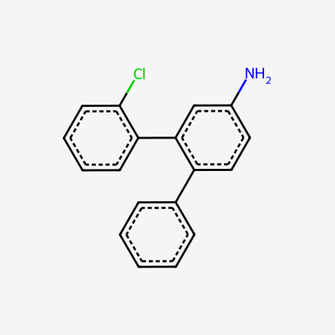 Nc1ccc(-c2ccccc2)c(-c2ccccc2Cl)c1